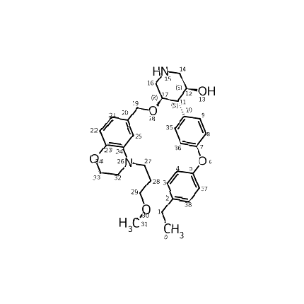 CCc1ccc(Oc2ccc([C@H]3[C@H](O)CNC[C@@H]3OCc3ccc4c(c3)N(CCCOC)CCO4)cc2)cc1